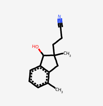 Cc1cccc2c1CC(C)(CCC#N)C2O